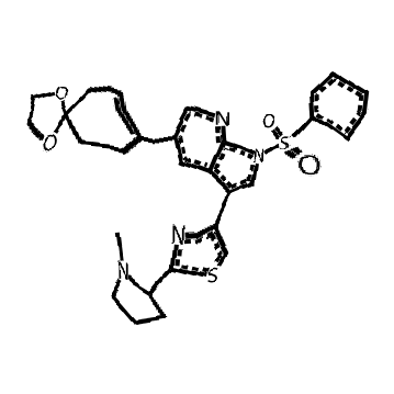 CN1CCCC1c1nc(-c2cn(S(=O)(=O)c3ccccc3)c3ncc(C4=CCC5(CC4)OCCO5)cc23)cs1